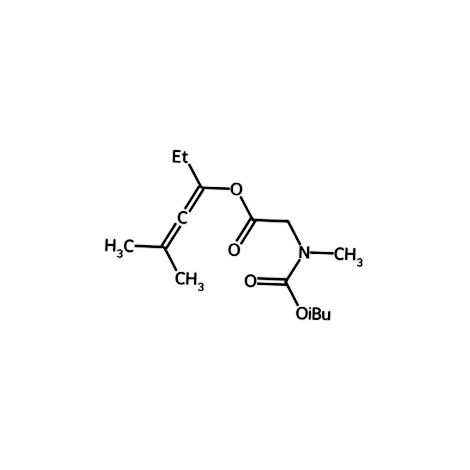 CCC(=C=C(C)C)OC(=O)CN(C)C(=O)OCC(C)C